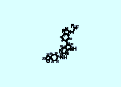 FC(F)Cn1nnc2ccc(-c3c[nH]c4nc(N[C@H]5CC[C@@]6(CCO6)CC5)ncc34)cc21